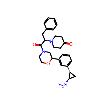 N[C@@H]1C[C@H]1c1cccc(C2CN(C(=O)C(Cc3ccccc3)N3CCC(=O)CC3)CCO2)c1